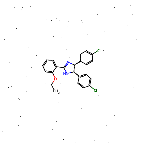 CCOc1ccccc1C1=N[C@@H](C2C=CC(Cl)=CC2)[C@@H](c2ccc(Cl)cc2)N1